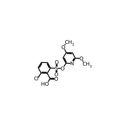 COc1cc(OC)nc(OS(=O)(=O)c2cccc(Cl)c2C(=O)O)c1